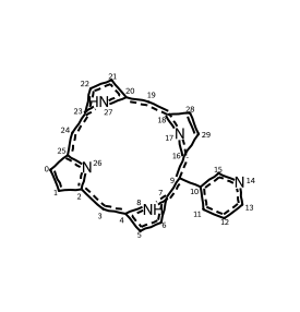 C1=Cc2cc3ccc([nH]3)c(-c3cccnc3)c3nc(cc4ccc(cc1n2)[nH]4)C=C3